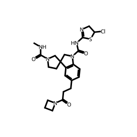 CNC(=O)N1CCC2(C1)CN(C(=O)NC1=NCC(Cl)S1)c1ccc(CCC(=O)N3CCC3)cc12